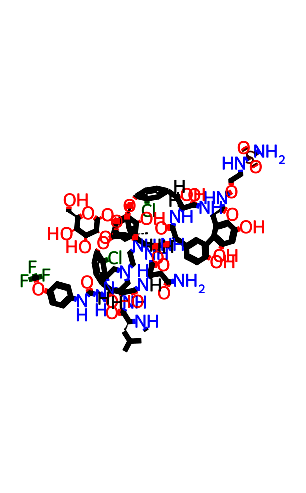 CN[C@H](CC(C)C)C(=O)N[C@H]1C(=O)N[C@@H](CC(N)=O)C(=O)N[C@H]2C(=O)N[C@H]3C(=O)N[C@H](C(=O)N[C@@H](C(=O)NOCCNS(N)(=O)=O)c4cc(O)cc(O)c4-c4cc3ccc4O)[C@H](O)c3ccc(c(Cl)c3)Oc3cc2cc(c3O[C@@H]2O[C@H](CO)[C@@H](O)[C@H](O)[C@H]2O[C@H]2C[C@](C)(NCCN3CCN(NC(=O)Nc4ccc(OC(F)(F)F)cc4)CC3)[C@H](O)[C@H](C)O2)Oc2ccc(cc2Cl)[C@H]1O